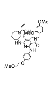 C=CC(O)N1CCCCC(Nc2nc(Nc3ccc(OCCOC)cc3)c3c(c2F)CN(Cc2ccc(OC)cc2OC)C3=O)C1